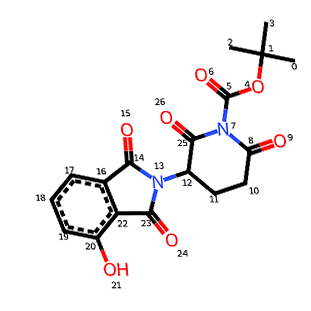 CC(C)(C)OC(=O)N1C(=O)CCC(N2C(=O)c3cccc(O)c3C2=O)C1=O